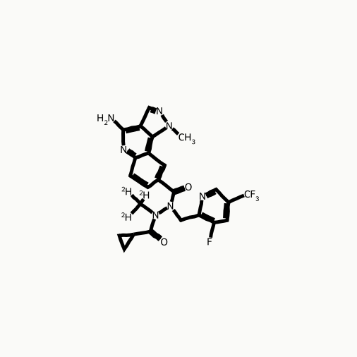 [2H]C([2H])([2H])N(C(=O)C1CC1)N(Cc1ncc(C(F)(F)F)cc1F)C(=O)c1ccc2nc(N)c3cnn(C)c3c2c1